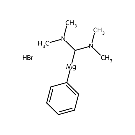 Br.CN(C)[CH]([Mg][c]1ccccc1)N(C)C